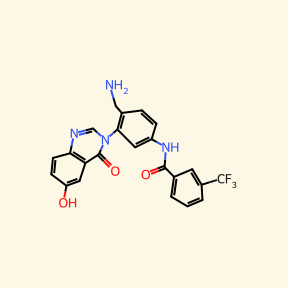 NCc1ccc(NC(=O)c2cccc(C(F)(F)F)c2)cc1-n1cnc2ccc(O)cc2c1=O